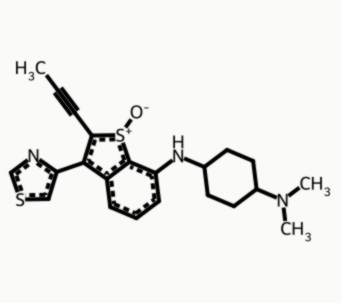 CC#Cc1c(-c2cscn2)c2cccc(NC3CCC(N(C)C)CC3)c2[s+]1[O-]